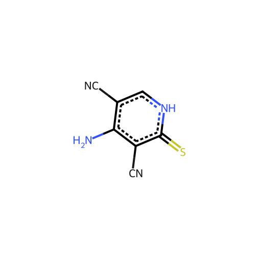 N#Cc1c[nH]c(=S)c(C#N)c1N